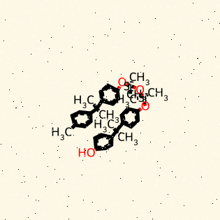 Cc1ccc(C(C)(C)c2ccc(O[Si](C)(C)O[Si](C)(C)Oc3ccc(C(C)(C)c4ccc(O)cc4)cc3)cc2)cc1